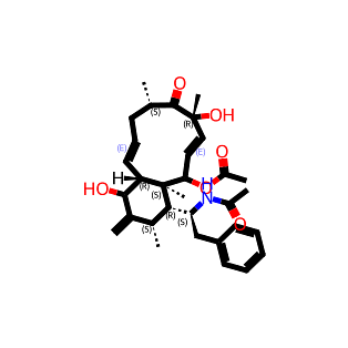 C=C1C(O)[C@@H]2/C=C/C[C@H](C)C(=O)[C@](C)(O)/C=C/C(OC(C)=O)[C@@]2(C)[C@H]([C@H](Cc2ccccc2)NC(C)=O)[C@@H]1C